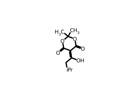 CC(C)CC(O)=C1C(=O)OC(C)(C)OC1=O